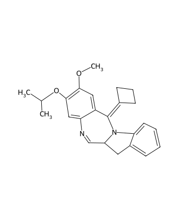 COc1cc2c(cc1OC(C)C)N=CC1Cc3ccccc3N1C2=C1CCC1